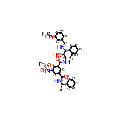 CCS(=O)(=O)Nc1cc(C(=O)N[C@@H](Cc2ccccc2)[C@H](O)CNCc2cccc(OC(F)(F)F)c2)cc(C(=O)N[C@H](C)c2ccccc2)c1